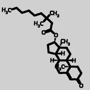 CCCCCCC(C)(C)CC(=O)O[C@H]1CC[C@H]2[C@@H]3CCC4=CC(=O)CC[C@]4(C)[C@H]3CC[C@]12C